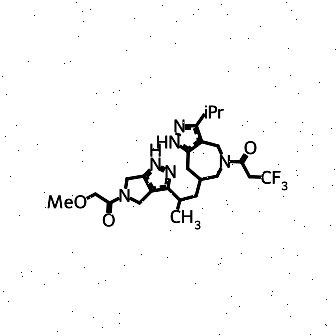 COCC(=O)N1Cc2[nH]nc(C(C)CC3Cc4[nH]nc(C(C)C)c4CN(C(=O)CC(F)(F)F)C3)c2C1